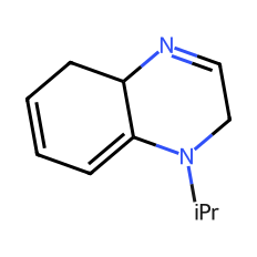 CC(C)N1CC=NC2CC=CC=C21